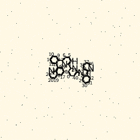 C1=CC(c2cccc(-c3ccccc3-c3cccc4cccnc34)n2)NC(n2c3ccccc3c3ncccc32)=C1